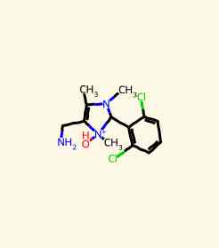 CC1=C(CN)[N+](C)(O)C(c2c(Cl)cccc2Cl)N1C